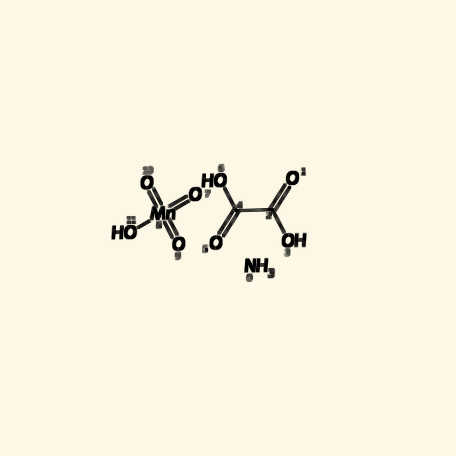 N.O=C(O)C(=O)O.[O]=[Mn](=[O])(=[O])[OH]